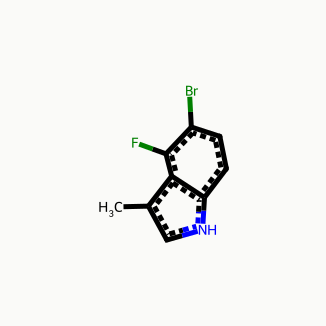 Cc1c[nH]c2ccc(Br)c(F)c12